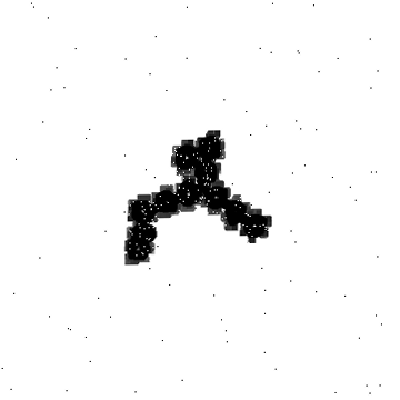 c1ccc(-c2ccc(-c3ccc(N(c4ccc(-c5ccc(-c6cccc(-c7cc8ccccc8o7)c6)cc5)cc4)c4ccc(-c5ccccc5-c5ccccc5)cc4)cc3)cc2)cc1